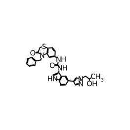 CC(O)Cn1cc(-c2ccc3[nH]cc(NC(=O)Nc4ccc5c(c4)N(Cc4ccccc4)C(=O)CS5)c3c2)cn1